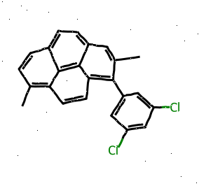 Cc1cc2ccc3ccc(C)c4ccc(c1-c1cc(Cl)cc(Cl)c1)c2c34